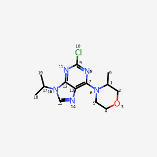 CC1COCCN1c1nc(Cl)nc2c1ncn2C(C)C